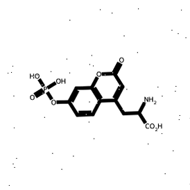 NC(Cc1cc(=O)oc2cc(OP(=O)(O)O)ccc12)C(=O)O